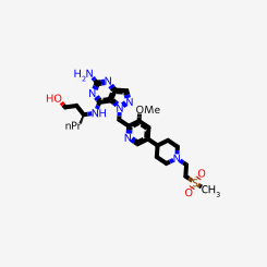 CCC[C@@H](CCO)Nc1nc(N)nc2cnn(Cc3ncc(C4CCN(CCS(C)(=O)=O)CC4)cc3OC)c12